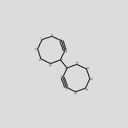 C1#CC(C2C#CCCCCC2)CCCCC1